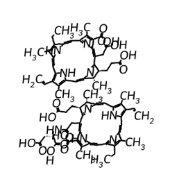 C=Cc1c(C)c2cc3nc(c(CC(=O)N[C@@H](CC(=O)O)C(=O)O)c4[nH]c(cc5nc(cc1[nH]2)C(C)=C5CC)c(C)c4C(=O)O)[C@@H](CCC(=O)O)[C@@H]3C.C=Cc1c(C)c2cc3nc(c(CC(=O)O)c4nc(cc5[nH]c(cc1[nH]2)c(C)c5CC)C(C)=C4C(=O)O)[C@@H](CCC(=O)O)[C@@H]3C